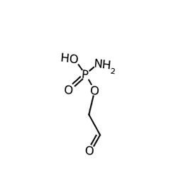 NP(=O)(O)OCC=O